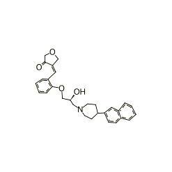 O=C1COC/C1=C/c1ccccc1OC[C@@H](O)CN1CCC(c2ccc3ccccc3c2)CC1